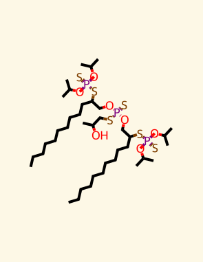 CCCCCCCCCCC(COP(=S)(OCC(CCCCCCCCCC)SP(=S)(OC(C)C)OC(C)C)SCC(C)O)SP(=S)(OC(C)C)OC(C)C